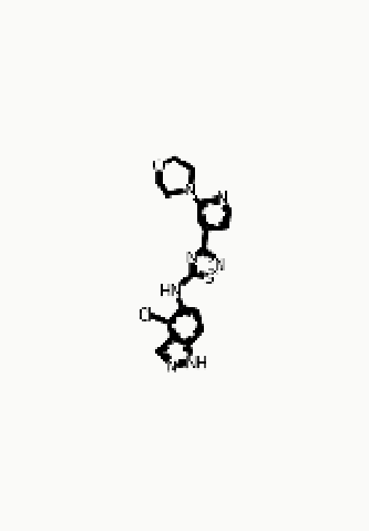 Clc1c(Nc2nc(-c3ccnc(N4CCOCC4)c3)ns2)ccc2[nH]ncc12